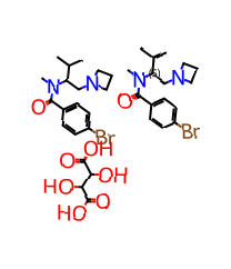 CC(C)C(CN1CCC1)N(C)C(=O)c1ccc(Br)cc1.CC(C)[C@@H](CN1CCC1)N(C)C(=O)c1ccc(Br)cc1.O=C(O)C(O)C(O)C(=O)O